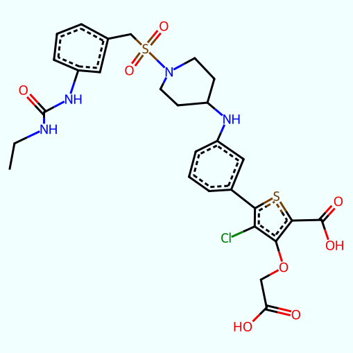 CCNC(=O)Nc1cccc(CS(=O)(=O)N2CCC(Nc3cccc(-c4sc(C(=O)O)c(OCC(=O)O)c4Cl)c3)CC2)c1